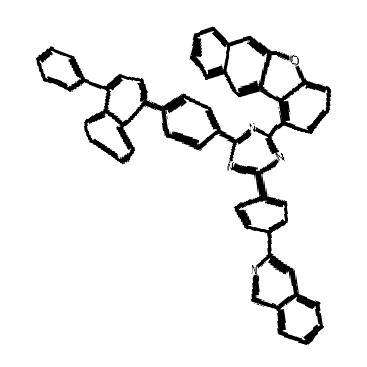 c1ccc(-c2ccc(-c3ccc(-c4nc(-c5ccc(-c6cc7ccccc7cn6)cc5)nc(-c5cccc6oc7cc8ccccc8cc7c56)n4)cc3)c3ccccc23)cc1